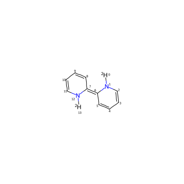 [2H]N1C=CC=CC1=C1C=CC=CN1[2H]